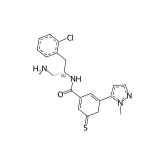 Cn1nccc1C1=CC(C(=O)N[C@H](CN)Cc2ccccc2Cl)=CC(=S)C1